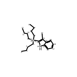 CCC[CH2][Sn]([CH2]CCC)([CH2]CCC)[c]1[nH]c2ccccc2c1C